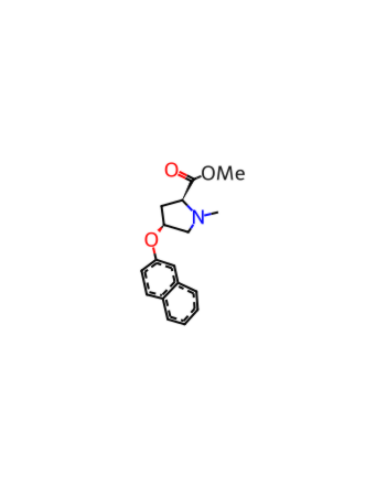 COC(=O)[C@@H]1C[C@H](Oc2ccc3ccccc3c2)CN1C